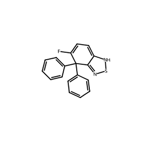 FC1=CC=C2NSN=C2C1(c1ccccc1)c1ccccc1